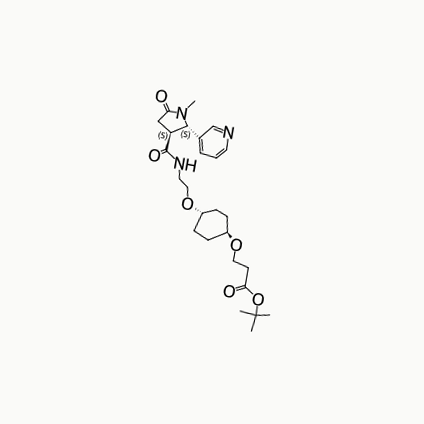 CN1C(=O)C[C@H](C(=O)NCCO[C@H]2CC[C@H](OCCC(=O)OC(C)(C)C)CC2)[C@H]1c1cccnc1